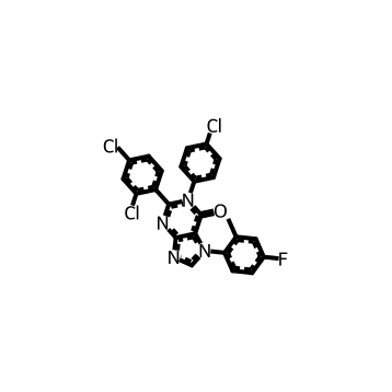 Cc1cc(F)ccc1-n1cnc2nc(-c3ccc(Cl)cc3Cl)n(-c3ccc(Cl)cc3)c(=O)c21